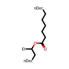 CCCCCCCCCCCCCCCC(=O)OC(CC)CCCCCCCCCCC